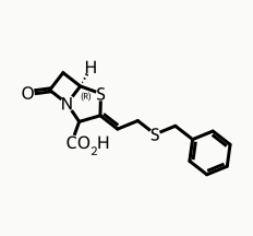 O=C(O)C1C(=CCSCc2ccccc2)S[C@@H]2CC(=O)N12